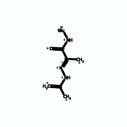 C=C(C)N/N=C(\C)C(=O)NC(C)(C)C